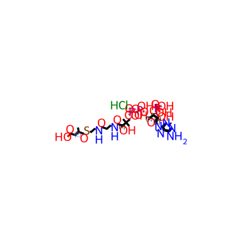 C/C(=C\C(=O)O)C(=O)SCCNC(=O)CCNC(=O)[C@H](O)C(C)(C)COP(=O)(O)OP(=O)(O)OC[C@H]1O[C@@H](n2cnc3c(N)ncnc32)[C@H](O)[C@@H]1OP(=O)(O)O.Cl